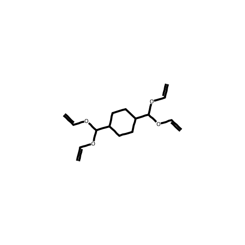 C=COC(OC=C)C1CCC(C(OC=C)OC=C)CC1